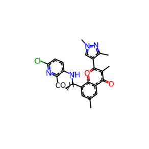 Cc1cc([C@@H](C)Nc2ccc(Cl)nc2C(=O)O)c2oc(-c3cn(C)nc3C)c(C)c(=O)c2c1